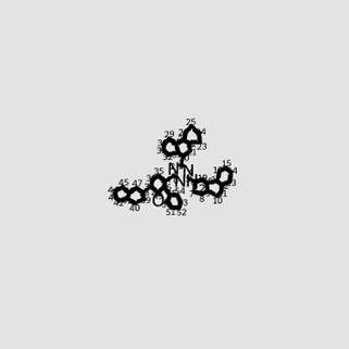 N/C(=N\C(=N/Cc1ccc2ccc3ccccc3c2c1)c1cc2ccccc2c2ccccc12)c1ccc(-c2ccc3ccccc3c2)c2oc3ccccc3c12